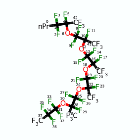 CCCC(F)(F)C(F)(OC(F)(F)C(F)(OC(F)(F)C(F)(OC(F)(F)C(F)(OC(F)(F)C(F)(OC(F)(F)C(F)(F)C(F)(F)F)C(F)(F)F)C(F)(F)F)C(F)(F)F)C(F)(F)F)C(F)(F)F